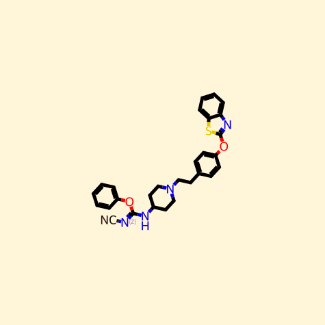 N#C/N=C(/NC1CCN(CCc2ccc(Oc3nc4ccccc4s3)cc2)CC1)Oc1ccccc1